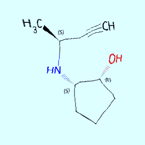 C#C[C@H](C)N[C@H]1CCC[C@H]1O